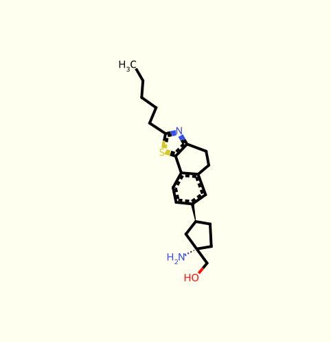 CCCCCc1nc2c(s1)-c1ccc([C@H]3CC[C@@](N)(CO)C3)cc1CC2